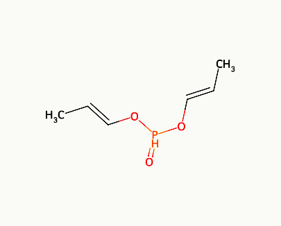 CC=CO[PH](=O)OC=CC